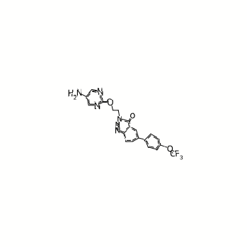 Nc1cnc(OCCn2nnc3ccc(-c4ccc(OC(F)(F)F)cc4)cc3c2=O)nc1